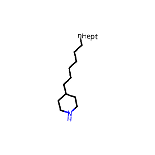 CCCCCCCCCCCCCC1CCNCC1